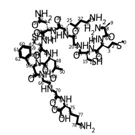 CSCC[C@H](NC(=O)[C@H](C)N)C(=O)N[C@@H](CS)C(=O)NCC(=O)N[C@@H](CCCCN)C(=O)N[C@@H](CC(N)=O)C(=O)N[C@@H](CS)C(=O)N[C@@H](CC(C)C)C(=O)N[C@@H](Cc1ccccc1)C(=O)NCC(=O)NCC(=O)N[C@@H](CCCCN)C(=O)O